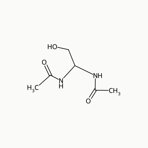 CC(=O)NC(CO)NC(C)=O